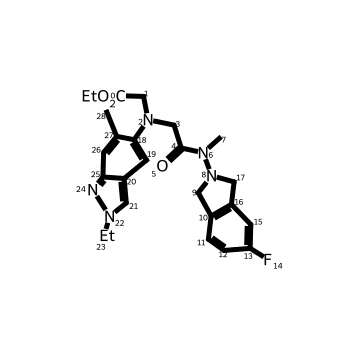 CCOC(=O)CN(CC(=O)N(C)N1Cc2ccc(F)cc2C1)c1cc2cn(CC)nc2cc1C